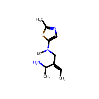 C/C=C(/CN(CC)c1cnc(C)s1)[C@@H](C)N